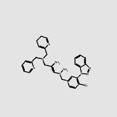 CCc1ccc(CN(N)/C=C(\N)CN(CC2=CCCC=N2)Cc2ccccn2)cc1-n1nnc2ccccc21